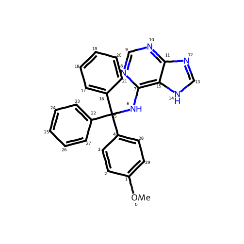 COc1ccc(C(Nc2ncnc3nc[nH]c23)(c2ccccc2)c2ccccc2)cc1